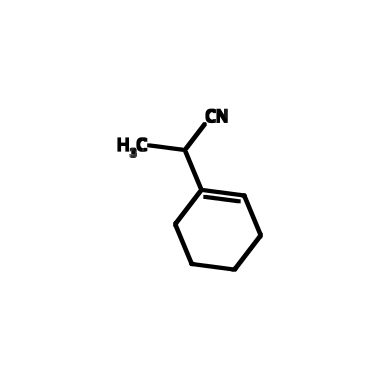 CC(C#N)C1=CCCCC1